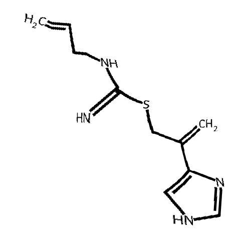 C=CCNC(=N)SCC(=C)c1c[nH]cn1